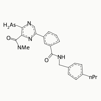 CCCc1ccc(CNC(=O)c2cccc(-c3cnc([AsH2])c(C(=O)NC)n3)c2)cc1